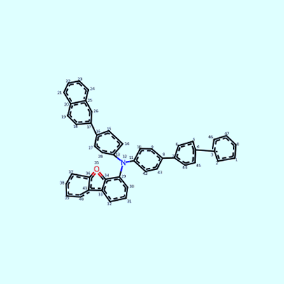 c1ccc(-c2ccc(-c3ccc(N(c4ccc(-c5ccc6ccccc6c5)cc4)c4cccc5c4oc4ccccc45)cc3)cc2)cc1